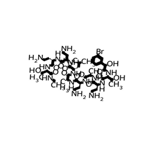 CCNC(=O)[C@@H](NC(=O)[C@H](CCN)NC(=O)C(CCN)NC(=O)[C@H](CC(C)C)NC(=O)[C@@H](C)NC(=O)[C@H](CCN)NC(=O)[C@H](C)NC(=O)[C@H](CCN)NC(=O)[C@@H](NC(=O)C(O)c1cccc(Br)c1)C(C)O)C(C)O